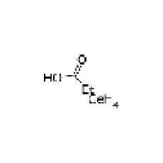 CCC(=O)O.[GeH4]